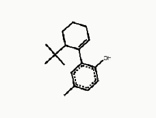 Cc1ccc(O)c(C2=CCCCC2C(C)(C)C)c1